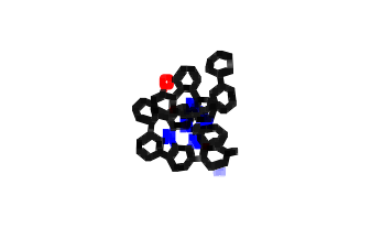 C=C(/C=C\c1c(C)n(-c2nc(-c3cccc(-c4ccccc4)c3)nc(-c3cccc4oc5cccc(-c6ccccc6)c5c34)n2)c2c1ccc1c3cccc4c3n(c12)-c1ccccc1-c1ccccc1-4)c1ccccc1